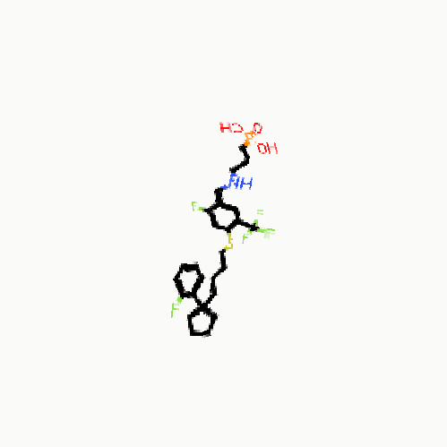 O=P(O)(O)CCCNCc1cc(C(F)(F)F)c(SCCCCC2(c3ccccc3F)CCCC2)cc1F